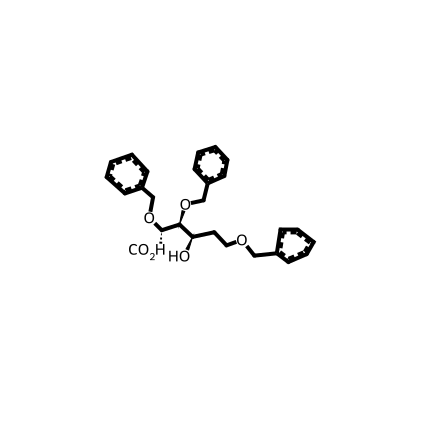 O=C(O)[C@H](OCc1ccccc1)[C@@H](OCc1ccccc1)[C@H](O)CCOCc1ccccc1